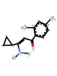 CCN(CC)C(=CC(=O)c1ccc(C(F)(F)F)cc1[N+](=O)[O-])C1CC1